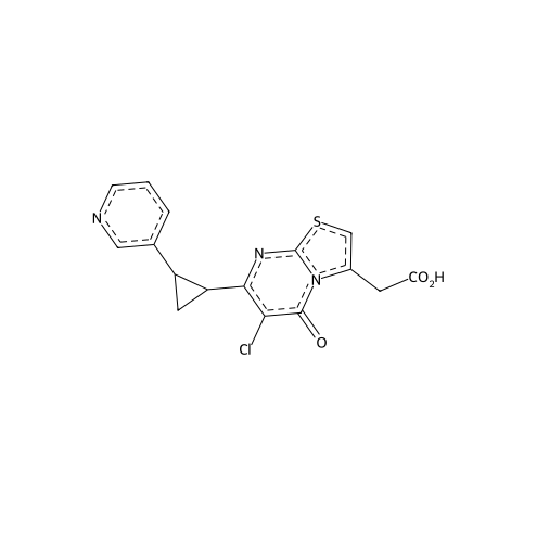 O=C(O)Cc1csc2nc(C3CC3c3cccnc3)c(Cl)c(=O)n12